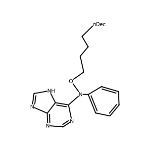 CCCCCCCCCCCCCCON(c1ccccc1)c1ncnc2nc[nH]c12